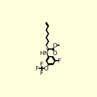 C=CCCCCC[C@H](Nc1cc(F)cc(OC(F)(F)F)c1)C(=O)OC